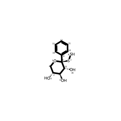 O[C@H]1[C@H](O)CO[C@](SS)(c2ccccc2)[C@@H]1O